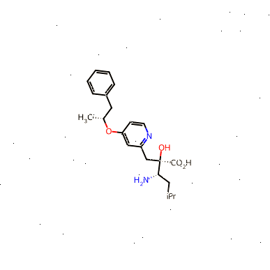 CC(C)C[C@H](N)[C@](O)(Cc1cc(O[C@H](C)Cc2ccccc2)ccn1)C(=O)O